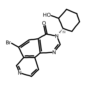 O=c1c2cc(Br)c3cnccc3c2ncn1[C@H]1CCCCC1O